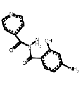 Nc1ccc(C(=O)N(N)C(=O)c2ccncc2)c(O)c1